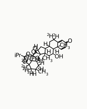 [2H]C1([2H])C[C@@H]2[C@H]([C@@H](O)C[C@@]3(C)[C@H]2C[C@H]2O[C@@]([2H])(C4([2H])C([2H])([2H])C([2H])([2H])C([2H])(C)C([2H])([2H])C4([2H])[2H])O[C@]23C(=O)COC(=O)C(C)C)[C@@]2(C)C=CC(=O)C=C12